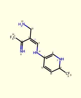 N=C(/C(=C\NC1=CNC(C(F)(F)F)C=C1)CN)C(F)(F)F